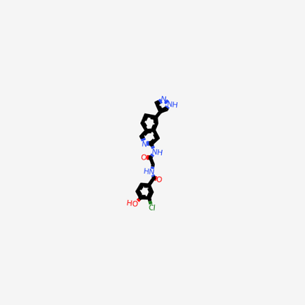 O=C(CNC(=O)c1ccc(O)c(Cl)c1)Nc1cc2cc(-c3cn[nH]c3)ccc2cn1